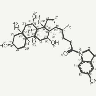 C[C@H](CCC(=O)N1CCc2cc(C#N)ccc21)[C@H]1CC[C@H]2[C@@H]3[C@H](O)C[C@@H]4C[C@H](O)CC[C@]4(C)[C@H]3C[C@H](O)[C@]12C